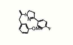 C=C(Cc1cccc(OC)c1)N1CCC(c2ccc(F)cc2)=N1